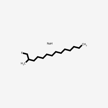 CCCCCCCCCCCCC(C)CF.[NaH]